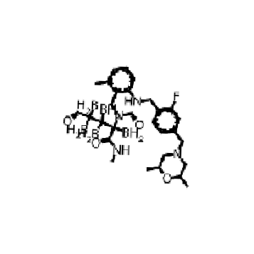 BC(B)(C=O)C(B)(B)C(B)(C(=O)NC)N(C=O)Cc1c(C)cccc1NCc1ccc(CN2CC(C)OC(C)C2)cc1F